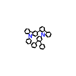 c1ccc(-c2ccc(-n3c4ccccc4c4cccc(-c5ccc6c(c5)c5ccccc5n6-c5ccccc5)c43)cc2-c2ccccc2)cc1